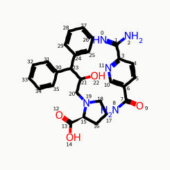 N=C(N)c1ccc(C(N)=O)cn1.O=C(O)[C@@H]1CCCN1CC(O)C(c1ccccc1)c1ccccc1